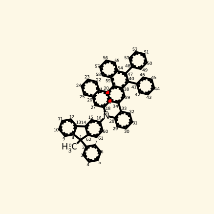 CC1(c2ccccc2)c2ccccc2-c2cc(N(c3ccc4ccccc4c3)c3ccccc3-c3ccc4c(c3)c(-c3ccccc3)c(-c3ccccc3)c3ccccc34)ccc21